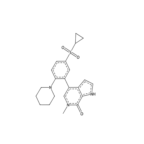 Cn1cc(-c2cc(S(=O)(=O)C3CC3)ccc2N2CCCCC2)c2cc[nH]c2c1=O